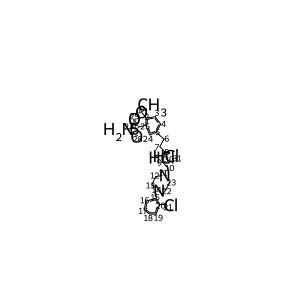 COc1ccc(CCCCCN2CCN(c3ccccc3Cl)CC2)cc1S(N)(=O)=O.Cl.Cl